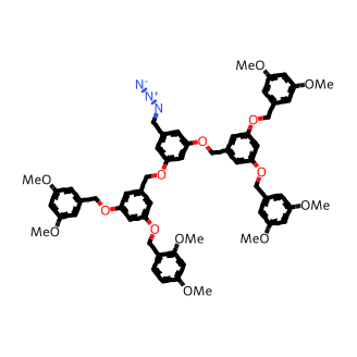 COc1cc(COc2cc(COc3cc(CN=[N+]=[N-])cc(OCc4cc(OCc5cc(OC)cc(OC)c5)cc(OCc5ccc(OC)cc5OC)c4)c3)cc(OCc3cc(OC)cc(OC)c3)c2)cc(OC)c1